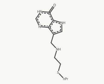 CCCSCCNCc1c[nH]c2c(=O)[nH]cnc12